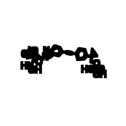 C[C@@](CCn1cc2cc(C#Cc3ccc(C4(COP(=O)(O)O)CC4)cc3)ccc2n1)(C(=O)NO)S(C)(=O)=O